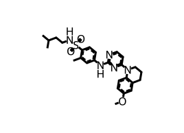 COc1ccc2c(c1)CCCN2c1ccnc(Nc2ccc(S(=O)(=O)NCCC(C)C)c(C)c2)n1